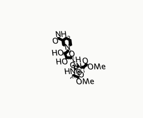 COC(=O)[C@H](C)NP(=O)(N[C@@H](C)C(=O)OC)OC[C@H]1O[C@@H](N2C=CCC(C(N)=O)=C2)[C@H](O)[C@@H]1O